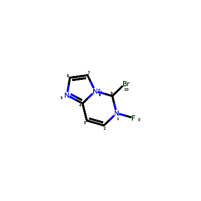 FN1C=CC2=NC=C[N+]2C1Br